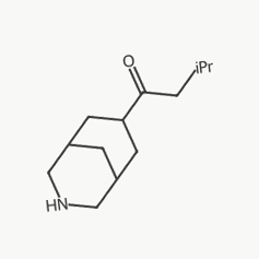 CC(C)CC(=O)C1CC2CNCC(C2)C1